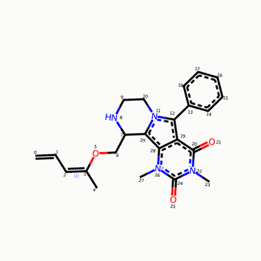 C=C/C=C(/C)OCC1NCCn2c(-c3ccccc3)c3c(=O)n(C)c(=O)n(C)c3c21